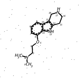 CN(C)CCOc1cccc2c3c([nH]c12)CCNC3